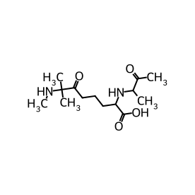 CNC(C)(C)C(=O)CCCC(NC(C)C(C)=O)C(=O)O